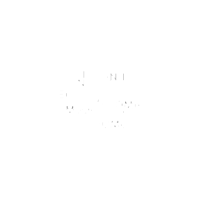 CCNC(N)[Si](OC)(OC)OC